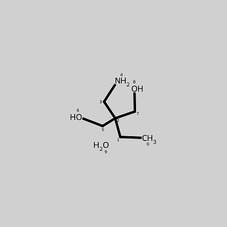 CCC(CN)(CO)CO.O